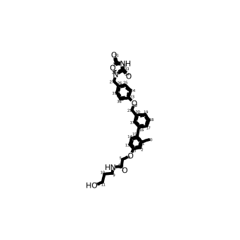 Cc1cc(OCC(=O)NCCCO)ccc1-c1cccc(COc2ccc(Cn3oc(=O)[nH]c3=O)cc2)c1